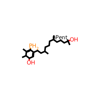 CCCCCC(C)(O)CCCC(C)CCCC(C)CCC1=CC(O)C(C)C(C)=C1P